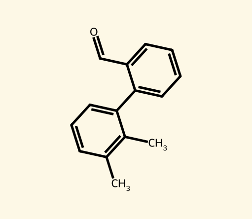 Cc1cccc(-c2ccccc2C=O)c1C